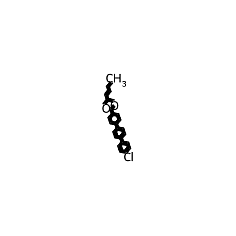 CCCC=CC1COC(C2CCC(c3ccc(-c4ccc(Cl)cc4)cc3)CC2)OC1